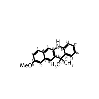 COc1ccc2cc3c(cc2c1)C(C)(C)c1ccccc1N3